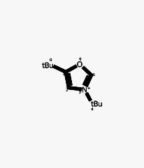 CC(C)(C)c1c[n+](C(C)(C)C)co1